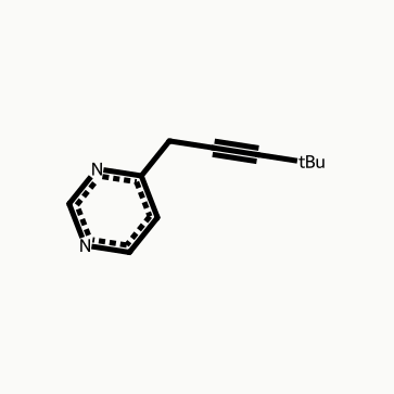 CC(C)(C)C#CCc1ccncn1